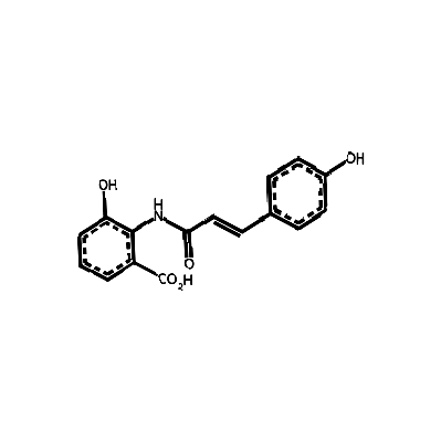 O=C(C=Cc1ccc(O)cc1)Nc1c(O)cccc1C(=O)O